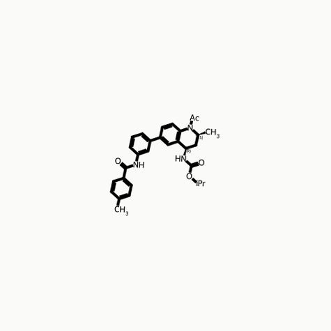 CC(=O)N1c2ccc(-c3cccc(NC(=O)c4ccc(C)cc4)c3)cc2[C@H](NC(=O)OC(C)C)C[C@@H]1C